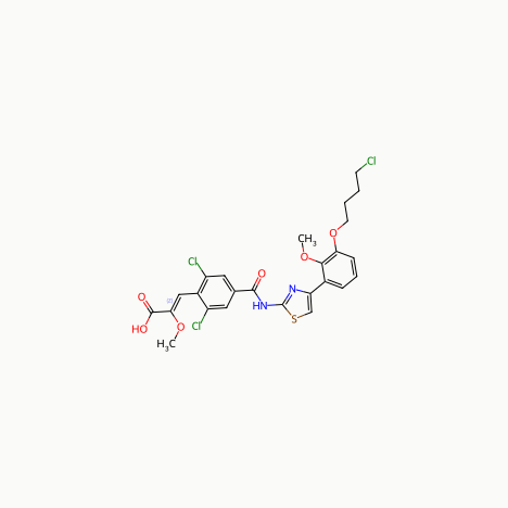 CO/C(=C\c1c(Cl)cc(C(=O)Nc2nc(-c3cccc(OCCCCCl)c3OC)cs2)cc1Cl)C(=O)O